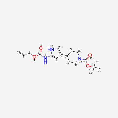 C=CCOC(=O)Nc1cc(C2CCN(C(=O)OC(C)(C)C)CC2)c[nH]1